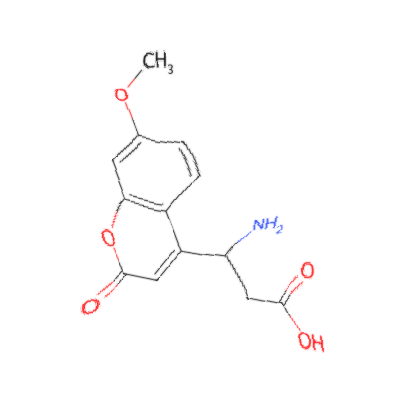 COc1ccc2c(C(N)CC(=O)O)cc(=O)oc2c1